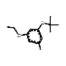 [CH2]c1cc(OCC)cc(OC(C)(C)C)c1